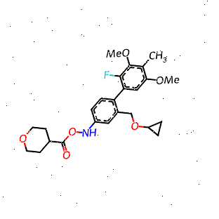 COc1cc(-c2ccc(NOC(=O)C3CCOCC3)cc2COC2CC2)c(F)c(OC)c1C